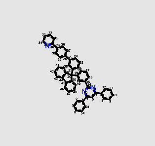 c1ccc(-c2cc(-c3ccccc3)nc(-c3cccc(C4(c5cccc(-c6ccc(-c7ccccn7)cc6)c5)c5ccccc5-c5ccccc54)c3)n2)cc1